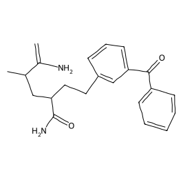 C=C(N)C(C)CC(CCc1cccc(C(=O)c2ccccc2)c1)C(N)=O